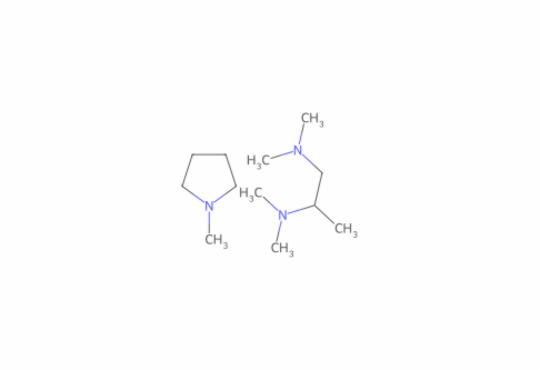 CC(CN(C)C)N(C)C.CN1CCCC1